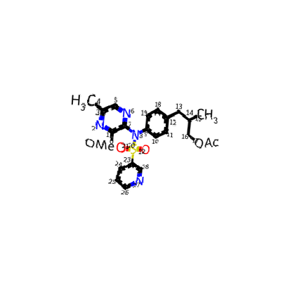 COc1nc(C)cnc1N(c1ccc(CC(C)COC(C)=O)cc1)S(=O)(=O)c1cccnc1